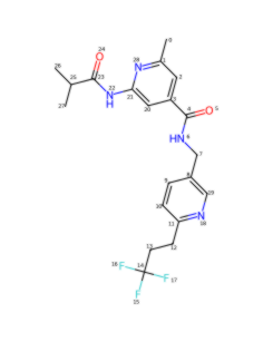 Cc1cc(C(=O)NCc2ccc(CCC(F)(F)F)nc2)cc(NC(=O)C(C)C)n1